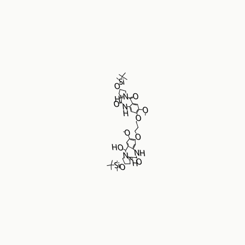 COc1cc2c(cc1OCCCOc1cc3c(cc1OC)C(O)N1CC(O[Si](C)(C)C(C)(C)C)C[C@H]1C(=O)N3)NC(=O)[C@@H]1CC(O[Si](C)(C)C(C)(C)C)CN1C2=O